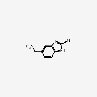 CCc1nc2cc(CN)ccc2[nH]1